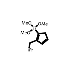 C[O][Ti]([O]C)([O]C)[C]1=C(CC(C)C)C=CC1